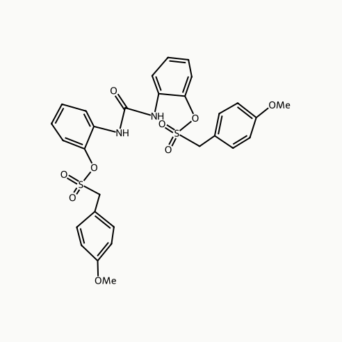 COc1ccc(CS(=O)(=O)Oc2ccccc2NC(=O)Nc2ccccc2OS(=O)(=O)Cc2ccc(OC)cc2)cc1